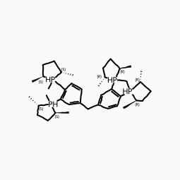 C[C@@H]1CC[C@@H](C)[PH]12C[PH]1(c3cc(Cc4ccc([PH]5(C)[C@@H](C)CC[C@@H]5C)c([PH]5(C)[C@@H](C)CC[C@@H]5C)c4)ccc32)[C@H](C)CC[C@H]1C